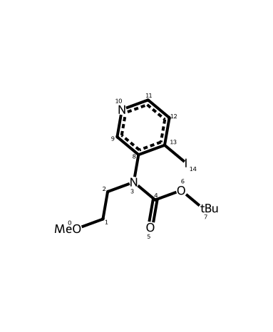 COCCN(C(=O)OC(C)(C)C)c1cnccc1I